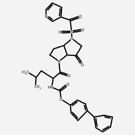 CC(C)CC(NC(=O)Oc1ccc(-c2ccccc2)cc1)C(=O)N1CCC2C1C(=O)CN2S(=O)(=O)C(=O)c1cccnc1